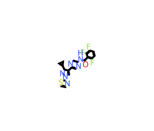 O=C(Nc1cnc(-c2cn(-c3nccs3)nc2C2CC2)cn1)c1c(F)ccc(F)c1F